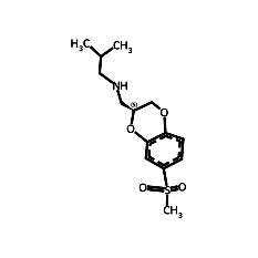 CC(C)CNC[C@H]1COc2ccc(S(C)(=O)=O)cc2O1